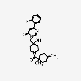 C=C1CCC(C)(C(=O)N2CCC(O)(Cn3cnc(-c4ccccc4F)cc3=O)CC2)CC1